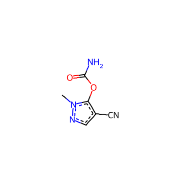 Cn1ncc(C#N)c1OC(N)=O